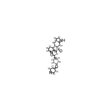 O=C(CN(C(=O)c1ccc2cc[nH]c2c1)c1ccccn1)N1CCC(Oc2ccncc2)CC1